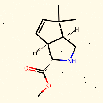 COC(=O)[C@H]1NC[C@H]2[C@@H]1C=CC2(C)C